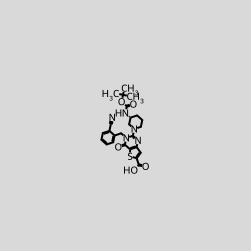 CC(C)(C)OC(=O)N[C@@H]1CCCN(c2nc3cc(C(=O)O)sc3c(=O)n2Cc2ccccc2C#N)C1